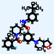 CCN(CC1CCOC1)c1ccc([C@@H]2[C@H](C(=O)Nc3cccc(C(C)(C)C)c3)CCCN2C(=O)c2c(C)cccc2F)cc1